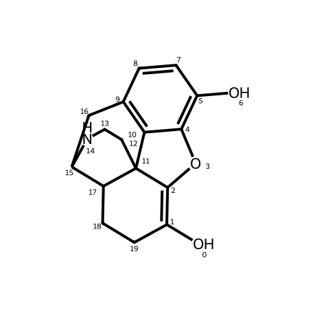 OC1=C2Oc3c(O)ccc4c3C23CCNC(C4)C3CC1